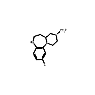 O=C(O)N1CCN2c3cc(Cl)ccc3NCCC2C1